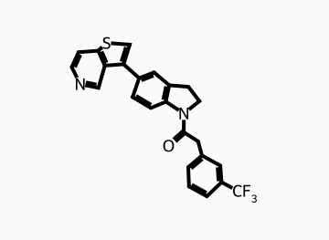 O=C(Cc1cccc(C(F)(F)F)c1)N1CCc2cc(-c3csc4ccncc34)ccc21